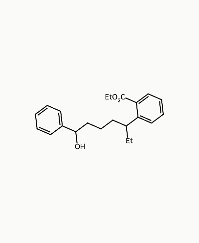 CCOC(=O)c1ccccc1C(CC)CCCC(O)c1ccccc1